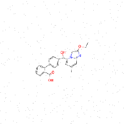 CCOc1cn2c(C(O)c3ccc(-c4ccccc4C(=O)O)cc3)cc(C)cc2n1